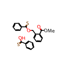 COC(=O)c1ccccc1COC(=S)c1ccccc1.OC(=S)c1ccccc1